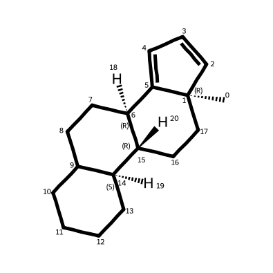 C[C@@]12C=CC=C1[C@@H]1CCC3CCCC[C@@H]3[C@H]1CC2